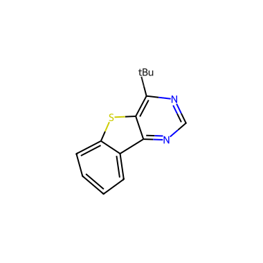 CC(C)(C)c1ncnc2c1sc1ccccc12